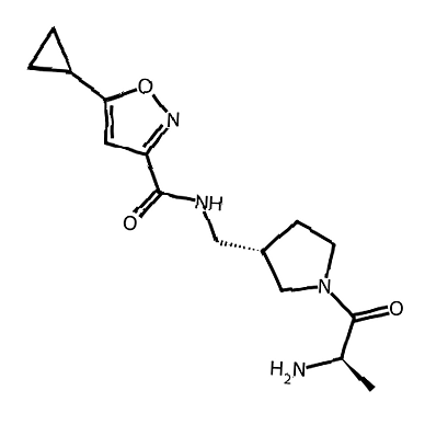 C[C@@H](N)C(=O)N1CC[C@@H](CNC(=O)c2cc(C3CC3)on2)C1